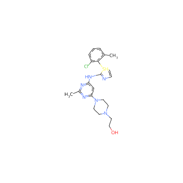 Cc1nc(NC2=NC=C[SH]2c2c(C)cccc2Cl)cc(N2CCN(CCO)CC2)n1